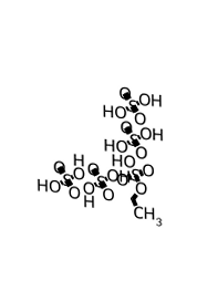 CCOS(=O)(=O)O.O=S(=O)(O)O.O=S(=O)(O)O.O=S(=O)(O)O.O=S(=O)(O)O